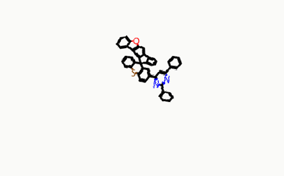 c1ccc(-c2cc(-c3ccc4c(c3)C3(c5ccccc5S4)c4ccccc4-c4cc5oc6ccccc6c5cc43)nc(-c3ccccc3)n2)cc1